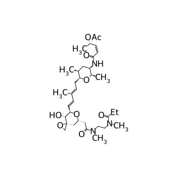 CCC(=O)N(C)CCN(C)C(=O)C[C@@H]1C[C@@]2(CO2)[C@H](O)[C@@H](/C=C/C(C)=C/C[C@@H]2O[C@H](C)[C@H](NC(=O)/C=C\[C@H](C)OC(C)=O)C[C@@H]2C)O1